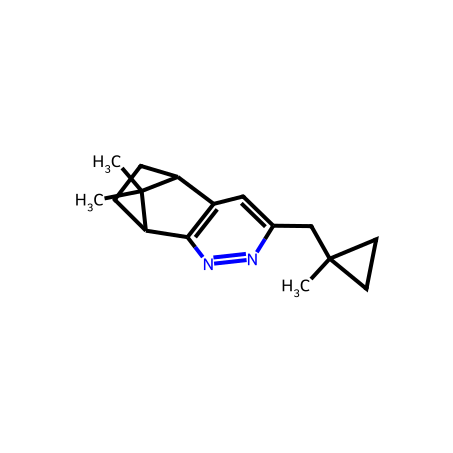 CC1(Cc2cc3c(nn2)C2CCC3C2(C)C)CC1